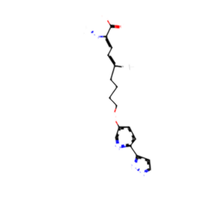 C=N/C(=C\C=C(/C)CCCCOc1ccc(-c2ccn[nH]2)nc1)C(=O)O